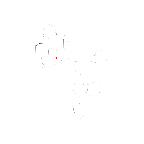 CC1(C)c2ccccc2C2(c3ccccc3Sc3ccccc32)c2ccc(-c3cc(-c4ccc(-c5ccccc5)c5ccccc45)nc(-c4ccccc4)n3)cc21